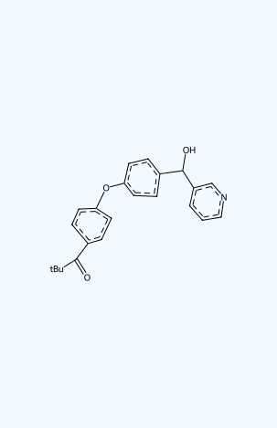 CC(C)(C)C(=O)c1ccc(Oc2ccc(C(O)c3cccnc3)cc2)cc1